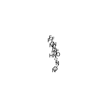 C[C@@H]1CN(c2ncc(C(F)(F)F)cn2)C[C@H](C)N1C(=O)NC1CC2(C1)CN(Cc1ccncc1)C2